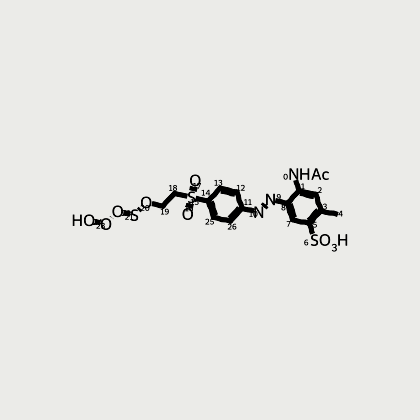 CC(=O)Nc1cc(C)c(S(=O)(=O)O)cc1/N=N/c1ccc(S(=O)(=O)CCOSOOO)cc1